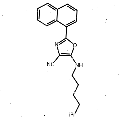 CC(C)CCCCNc1oc(-c2cccc3ccccc23)nc1C#N